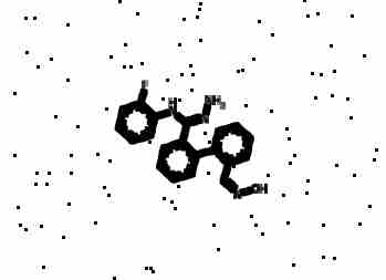 N/N=C(\Nc1ccccc1F)c1ccccc1-c1ccccc1/C=N\O